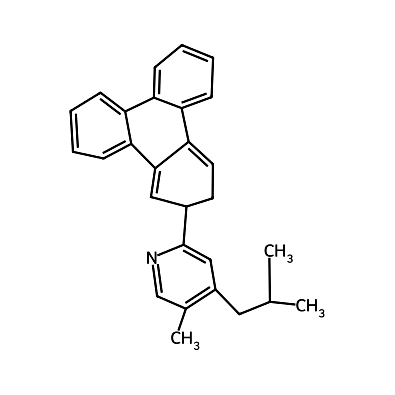 Cc1cnc(C2C=c3c(c4ccccc4c4ccccc34)=CC2)cc1CC(C)C